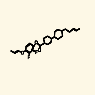 C/C=C/CCC1CCC(C2CCC(C(=O)Oc3ccc(O/C=C/C)c(F)c3F)CC2)CC1